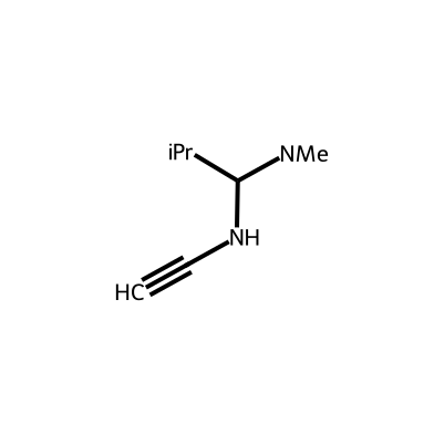 C#CNC(NC)C(C)C